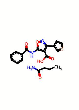 CCCC(N)=O.O=C(Nc1onc(-c2ccsc2)c1C(=O)O)c1ccccc1